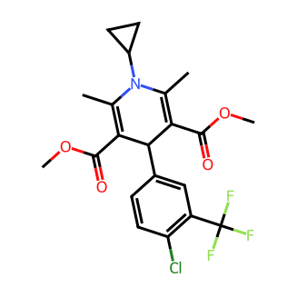 COC(=O)C1=C(C)N(C2CC2)C(C)=C(C(=O)OC)C1c1ccc(Cl)c(C(F)(F)F)c1